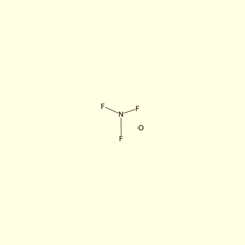 FN(F)F.[O]